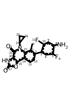 Cc1c(-c2cc(F)c(N)cc2F)ccc2c3oc(=O)[nH]c3c(=O)n(C3CC3)c12